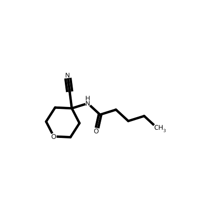 CCCCC(=O)NC1(C#N)CCOCC1